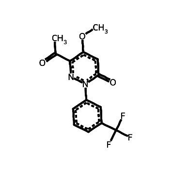 COc1cc(=O)n(-c2cccc(C(F)(F)F)c2)nc1C(C)=O